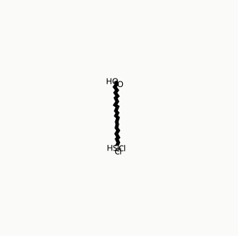 O=C(O)CCCCCCCCCCCCCCCCCCCCC[SiH](Cl)Cl